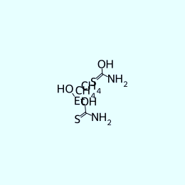 C.C.CCO.NC(O)=S.NC(O)=S